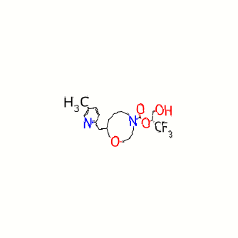 Cc1ccc(CC2CCCCN(C(=O)O[C@H](CO)C(F)(F)F)CCCOC2)nc1